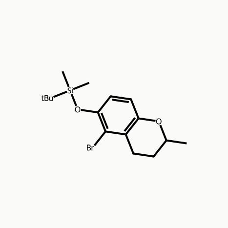 CC1CCc2c(ccc(O[Si](C)(C)C(C)(C)C)c2Br)O1